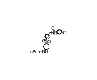 CCCCCNC1CCCN(S(=O)(=O)c2ccc(CNC(=O)c3ccc(Cl)cc3)s2)CC1